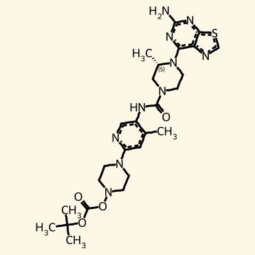 Cc1cc(N2CCN(OC(=O)OC(C)(C)C)CC2)ncc1NC(=O)N1CCN(c2nc(N)nc3scnc23)[C@@H](C)C1